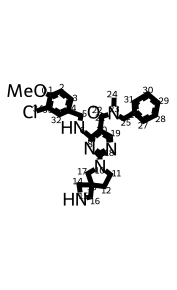 COc1ccc(CNc2nc(N3CCC4(CNC4)C3)ncc2C(=O)N(C)Cc2ccccc2)cc1Cl